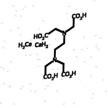 O=C(O)CN(CCN(CC(=O)O)CC(=O)O)CC(=O)O.[CaH2].[CaH2]